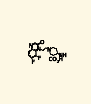 O=C(O)NC1CCN(CCn2c(=O)cnc3ccc(F)c(F)c32)CC1